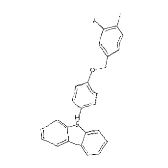 Ic1ccc(COc2ccc([SH]3c4ccccc4-c4ccccc43)cc2)cc1I